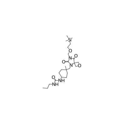 CCCNC(=O)NC1CCC(C)(CN2C(=O)N(COCC[Si](C)(C)C)C(=O)C23COC3)CC1